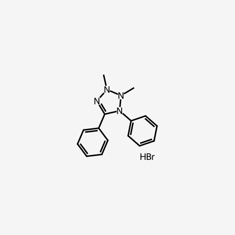 Br.CN1N=C(c2ccccc2)N(c2ccccc2)N1C